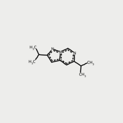 CC(C)c1cc2cc(C(C)C)nn2cn1